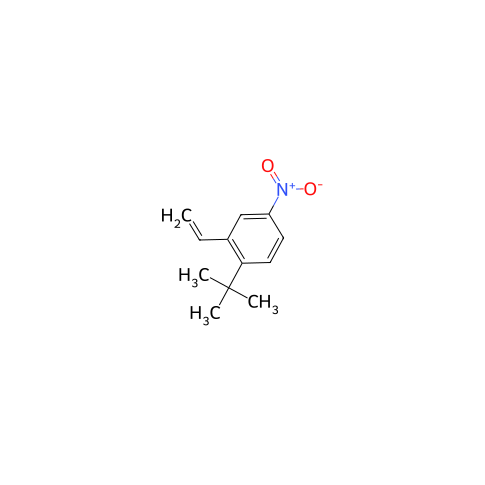 C=Cc1cc([N+](=O)[O-])ccc1C(C)(C)C